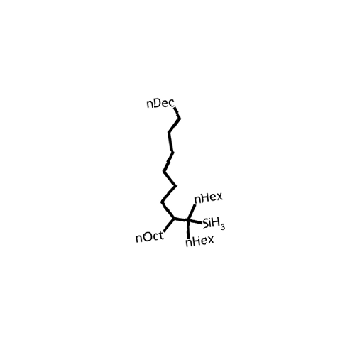 CCCCCCCCCCCCCCCCC(CCCCCCCC)C([SiH3])(CCCCCC)CCCCCC